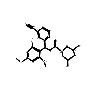 COc1cc(O)c(C(CC(=O)N2CC(C)CC(C)C2)c2cccc(C#N)c2)c(OC)c1